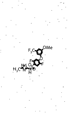 COc1cc(Oc2cc(F)c(S(=O)(=O)Nc3nc(C)ns3)cc2F)cc(C(F)(F)F)c1